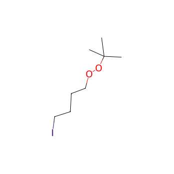 CC(C)(C)OOCCCCI